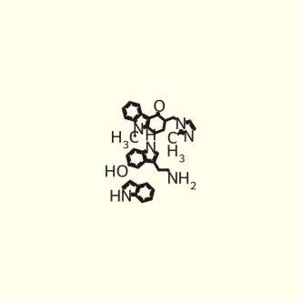 Cc1nccn1CC1CCc2c(c3ccccc3n2C)C1=O.NCCc1c[nH]c2ccc(O)cc12.c1ccc2[nH]ccc2c1